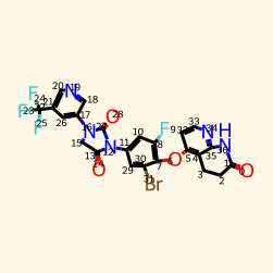 O=C1CCc2c(Oc3c(F)cc(N4C(=O)CN(c5cncc(C(F)(F)F)c5)C4=O)cc3Br)ccnc2N1